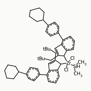 C[SiH](C)[Zr]([Cl])([Cl])([CH]1C(CC(C)(C)C)=Cc2c(-c3ccc(C4CCCCC4)cc3)cccc21)[CH]1C(CC(C)(C)C)=Cc2c(-c3ccc(C4CCCCC4)cc3)cccc21